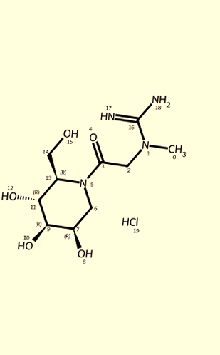 CN(CC(=O)N1C[C@@H](O)[C@@H](O)[C@H](O)[C@H]1CO)C(=N)N.Cl